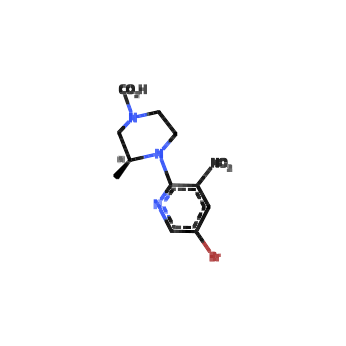 C[C@H]1CN(C(=O)O)CCN1c1ncc(Br)cc1[N+](=O)[O-]